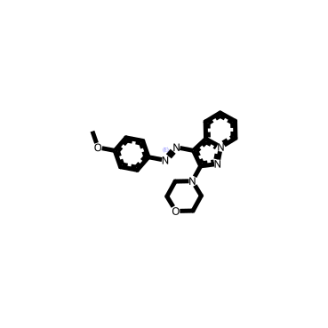 COc1ccc(/N=N/c2c(N3CCOCC3)nn3ccccc23)cc1